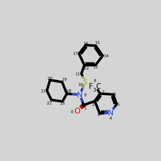 O=C(c1cnccc1C(F)(F)F)N(SCc1ccccc1)C1CCCCC1